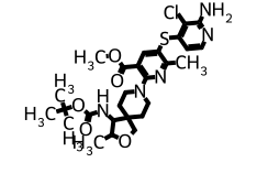 COC(=O)c1cc(Sc2ccnc(N)c2Cl)c(C)nc1N1CCC2(CC1)COC(C)C2NC(=O)OC(C)(C)C